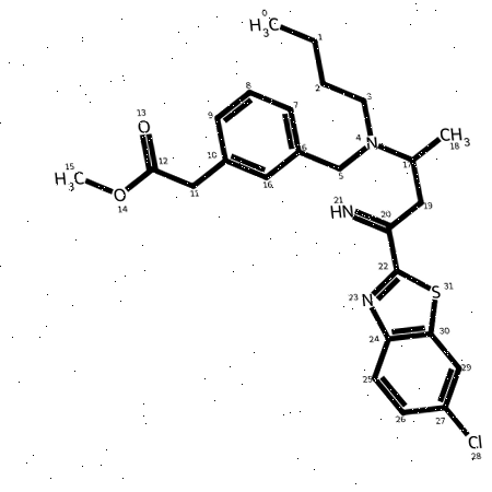 CCCCN(Cc1cccc(CC(=O)OC)c1)C(C)CC(=N)c1nc2ccc(Cl)cc2s1